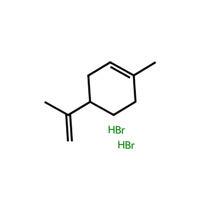 Br.Br.C=C(C)C1CC=C(C)CC1